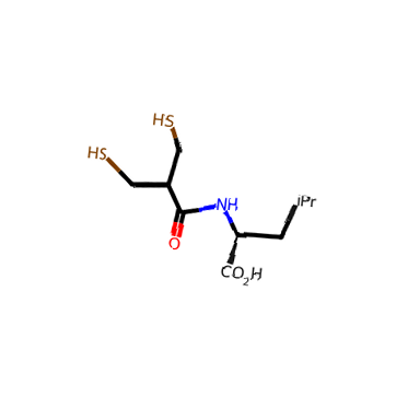 CC(C)C[C@H](NC(=O)C(CS)CS)C(=O)O